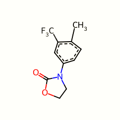 Cc1ccc(N2CCOC2=O)cc1C(F)(F)F